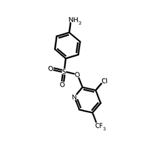 Nc1ccc(S(=O)(=O)Oc2ncc(C(F)(F)F)cc2Cl)cc1